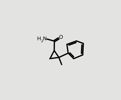 CC1(c2ccccc2)CC1C(N)=O